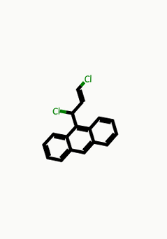 Cl/C=C/C(Cl)c1c2ccccc2cc2ccccc12